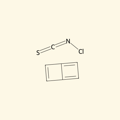 S=C=NCl.c1cc2ccc1-2